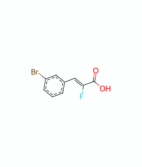 O=C(O)C(F)=Cc1cccc(Br)c1